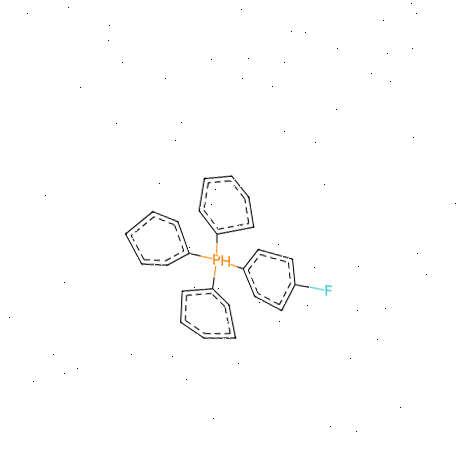 Fc1ccc([PH](c2ccccc2)(c2ccccc2)c2ccccc2)cc1